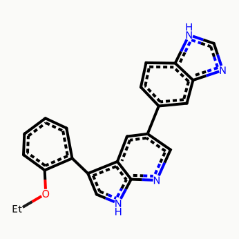 CCOc1ccccc1-c1c[nH]c2ncc(-c3ccc4[nH]cnc4c3)cc12